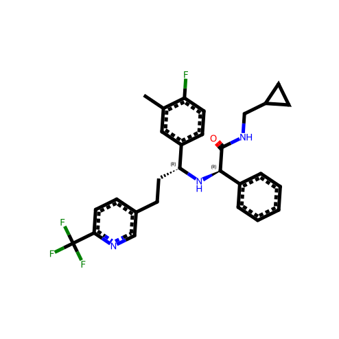 Cc1cc([C@@H](CCc2ccc(C(F)(F)F)nc2)N[C@@H](C(=O)NCC2CC2)c2ccccc2)ccc1F